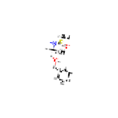 CC(C#N)(COCc1ccccc1)N[S+]([O-])C(C)(C)C